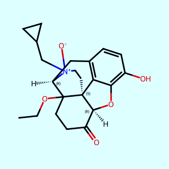 CCOC12CCC(=O)[C@@H]3Oc4c(O)ccc5c4[C@@]31CC[N+]([O-])(CC1CC1)[C@@H]2C5